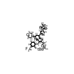 Cc1c(Cc2c(C(C)O[Si](C)(C)C(C)(C)C)nc3c(-c4cn(S(=O)(=O)N(C)C)cn4)cc(N4CCOCC4)nn23)cccc1C(F)(F)F